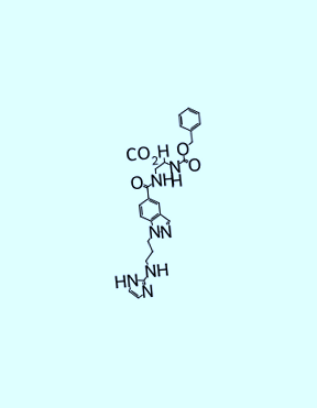 O=C(NC(CNC(=O)c1ccc2c(cnn2CCCNc2ncc[nH]2)c1)C(=O)O)OCc1ccccc1